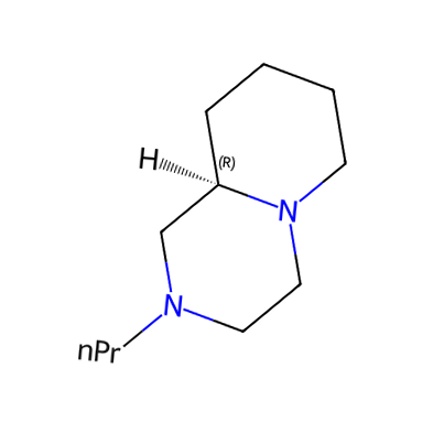 CCCN1CCN2CCCC[C@@H]2C1